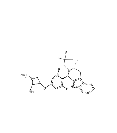 C[C@@H]1Cc2c([nH]c3ccccc23)[C@@H](c2c(F)cc(OC3CN(C(=O)O)C3C(C)(C)C)cc2F)N1CC(C)(C)F